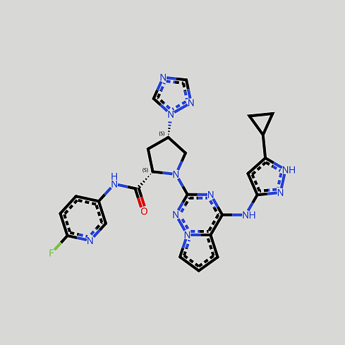 O=C(Nc1ccc(F)nc1)[C@@H]1C[C@H](n2cncn2)CN1c1nc(Nc2cc(C3CC3)[nH]n2)c2cccn2n1